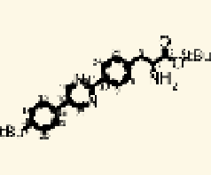 CC(C)(C)OC(=O)[C@@H](N)Cc1ccc(-c2ncc(-c3ccc(C(C)(C)C)cc3)cn2)cc1